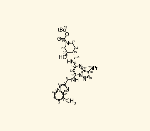 Cc1cccn2cc(CNc3cc(NC[C@H]4CCN(C(=O)OC(C)(C)C)C[C@@H]4O)nc4c(C(C)C)cnn34)nc12